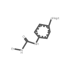 CCCCCCCc1ccc(NC(=O)NCC)cc1